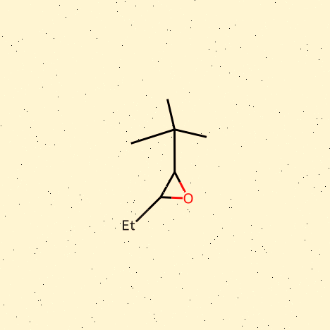 CCC1OC1C(C)(C)C